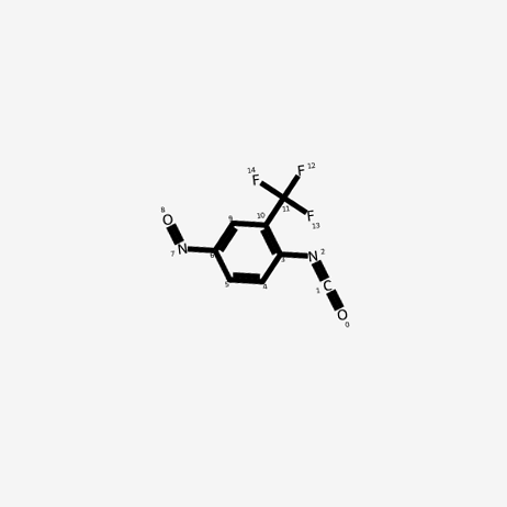 O=C=Nc1ccc(N=O)cc1C(F)(F)F